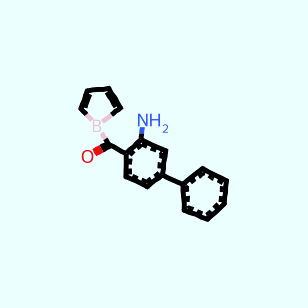 Nc1cc(-c2ccccc2)ccc1C(=O)B1C=CC=C1